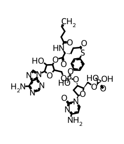 C=CCCC(=O)N[C@H](CCC(=O)Sc1ccccc1)C(=O)OC1C(COP(=O)(O)O[C@H]2C[C@H](n3ccc(N)nc3=O)O[C@@H]2COP(=O)(O)O)OC(n2cnc3c(N)ncnc32)C1O